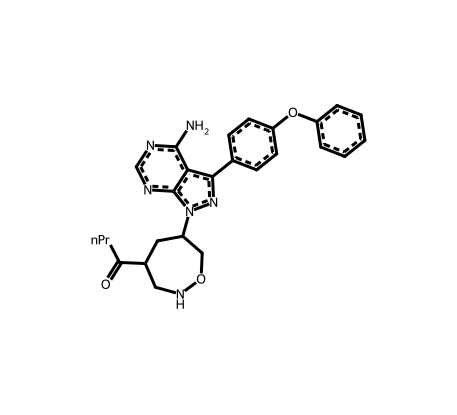 CCCC(=O)C1CNOCC(n2nc(-c3ccc(Oc4ccccc4)cc3)c3c(N)ncnc32)C1